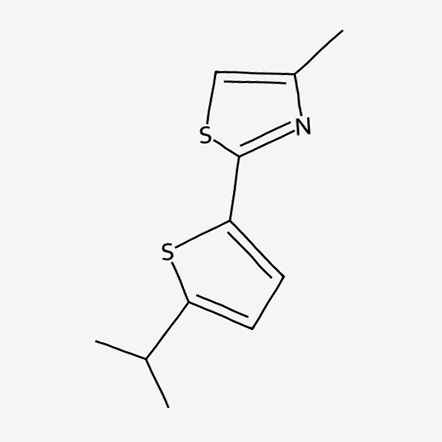 Cc1csc(-c2ccc(C(C)C)s2)n1